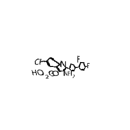 Nc1c(-c2ccc(-c3ccc(F)cc3F)cc2)nc2ccc(Cl)cc2c1OC(=O)O